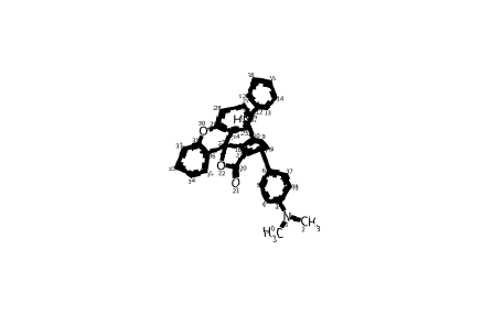 CN(C)c1ccc(-c2ccc(Nc3ccccc3)c3c2C(=O)OC32c3ccccc3Oc3ccccc32)cc1